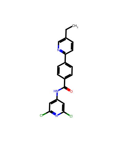 CCc1ccc(-c2ccc(C(=O)Nc3cc(Cl)nc(Cl)c3)cc2)nc1